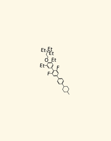 CCc1cc(-c2c(F)cc(-c3ccc(C4CCC(C)CC4)cc3)cc2F)cc(CC)c1OCCC(CC)(CC)CC